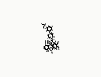 CCOc1cccc(N2CCN(C(=O)NN(c3ccccc3)c3cc(C)c(C)nc3OC)CC2)c1